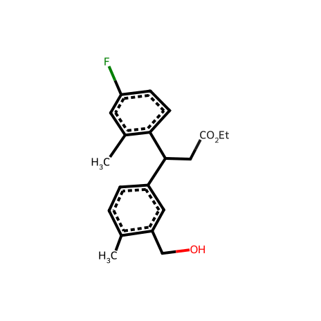 CCOC(=O)CC(c1ccc(C)c(CO)c1)c1ccc(F)cc1C